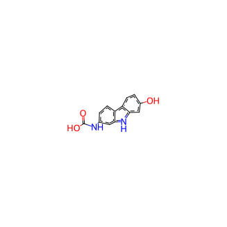 O=C(O)Nc1ccc2c(c1)[nH]c1cc(O)ccc12